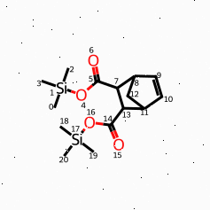 C[Si](C)(C)OC(=O)C1C2C=CC(C2)C1C(=O)O[Si](C)(C)C